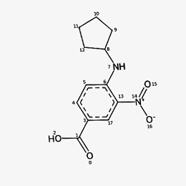 O=C(O)c1ccc(NC2CCCC2)c([N+](=O)[O-])c1